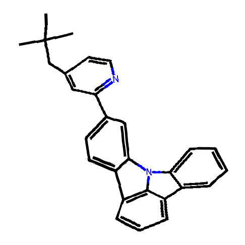 CC(C)(C)Cc1ccnc(-c2ccc3c4cccc5c6ccccc6n(c3c2)c54)c1